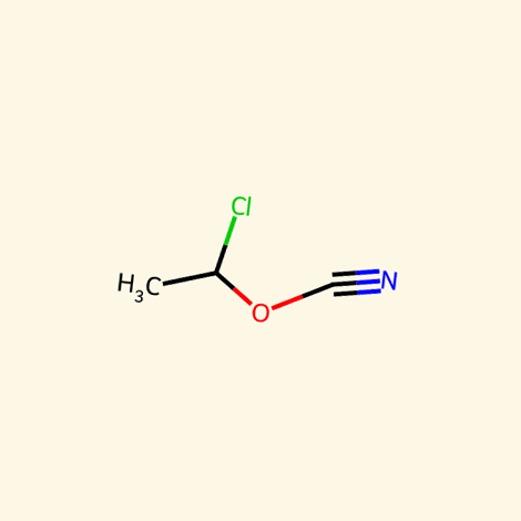 CC(Cl)OC#N